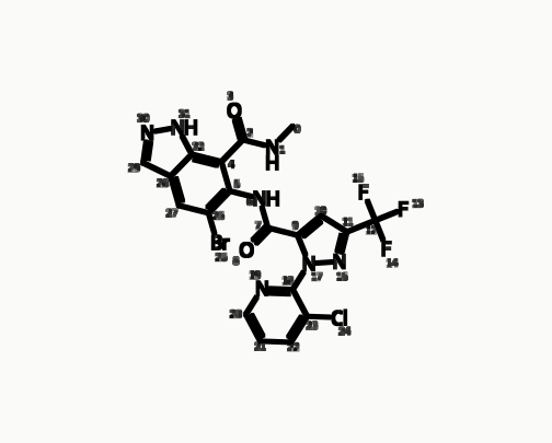 CNC(=O)c1c(NC(=O)c2cc(C(F)(F)F)nn2-c2ncccc2Cl)c(Br)cc2cn[nH]c12